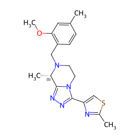 COc1cc(C)ccc1CN1CCn2c(-c3csc(C)n3)nnc2[C@@H]1C